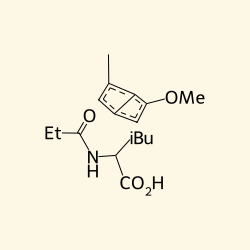 CCC(=O)NC(C(=O)O)C(C)CC.COc1cc2cc(C)c1-2